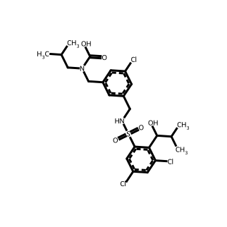 CC(C)CN(Cc1cc(Cl)cc(CNS(=O)(=O)c2cc(Cl)cc(Cl)c2C(O)C(C)C)c1)C(=O)O